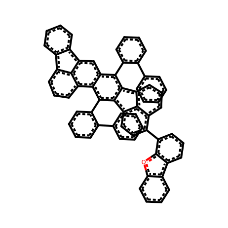 c1ccc(-c2ccccc2-c2c3cc4c5ccccc5c5cccc(c3c(-c3ccccc3-c3ccccc3)c3c6ccc(-c7cccc8c7oc7ccccc78)c7cccc(c23)c76)c54)cc1